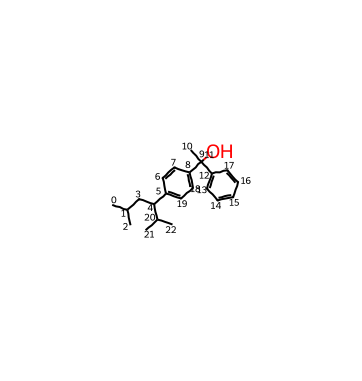 CC(C)CC(c1ccc(C(C)(O)c2ccccc2)cc1)C(C)C